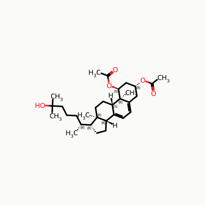 CC(=O)O[C@@H]1CC2=CC=C3[C@@H]4CC[C@H]([C@H](C)CCCC(C)(C)O)[C@@]4(C)CC[C@@H]3[C@@]2(C)[C@@H](OC(C)=O)C1